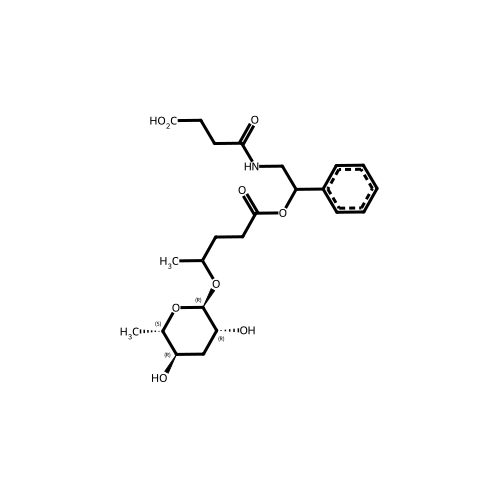 CC(CCC(=O)OC(CNC(=O)CCC(=O)O)c1ccccc1)O[C@@H]1O[C@@H](C)[C@H](O)C[C@H]1O